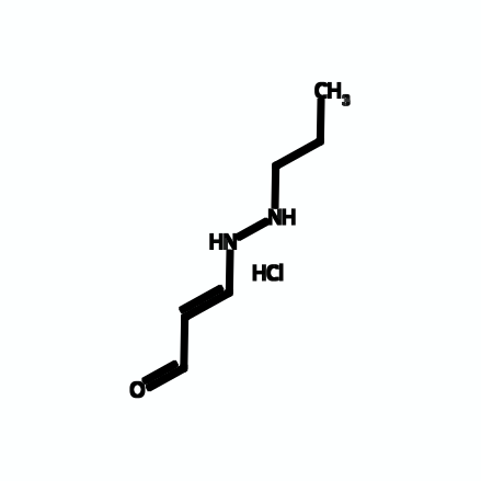 CCCNNC=CC=O.Cl